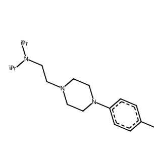 CCc1ccc(N2CCN(CCN(C(C)C)C(C)C)CC2)cc1